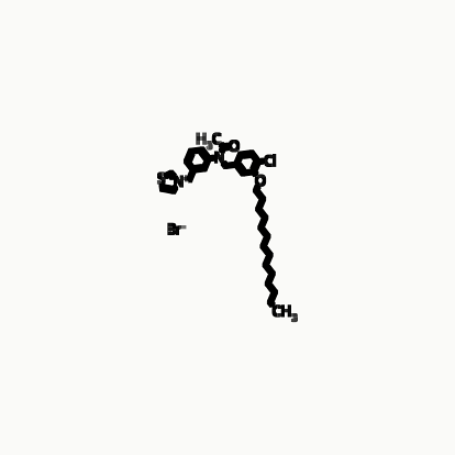 CCCCCCCCCCCCCCOc1cc(CN(C(C)=O)c2cccc(C[n+]3ccsc3)c2)ccc1Cl.[Br-]